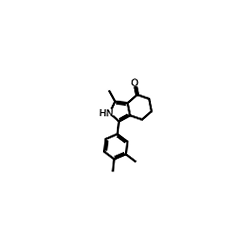 Cc1ccc(-c2[nH]c(C)c3c2CCCC3=O)cc1C